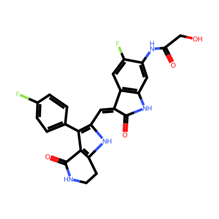 O=C(CO)Nc1cc2c(cc1F)/C(=C/c1[nH]c3c(c1-c1ccc(F)cc1)C(=O)NCC3)C(=O)N2